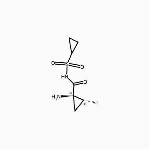 N[C@]1(C(=O)NS(=O)(=O)C2CC2)C[C@H]1I